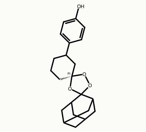 Oc1ccc(C2CCC[C@]3(C2)OOC2(O3)C3CC4CC(C3)CC2C4)cc1